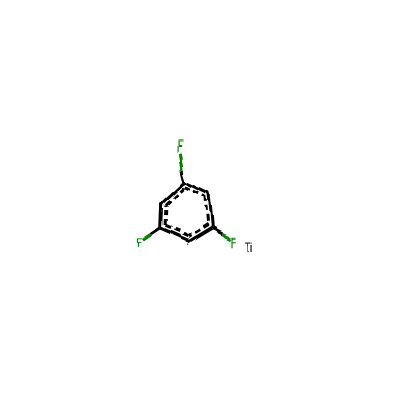 Fc1[c]c(F)cc(F)c1.[Ti]